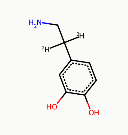 [2H]C([2H])(CN)c1ccc(O)c(O)c1